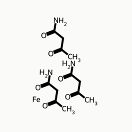 CC(=O)CC(N)=O.CC(=O)CC(N)=O.CC(=O)CC(N)=O.[Fe]